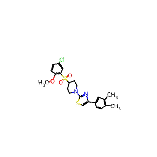 COc1ccc(Cl)cc1S(=O)(=O)C1CCN(c2nc(-c3ccc(C)c(C)c3)cs2)CC1